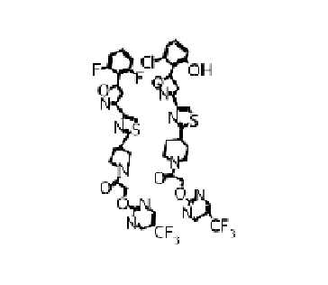 O=C(COc1ncc(C(F)(F)F)cn1)N1CCC(c2nc(C3=NOC(c4c(F)cccc4F)C3)cs2)CC1.O=C(COc1ncc(C(F)(F)F)cn1)N1CCC(c2nc(C3=NOC(c4c(O)cccc4Cl)C3)cs2)CC1